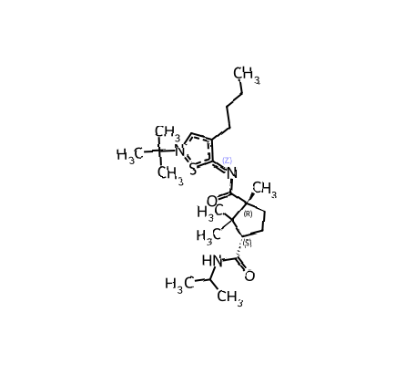 CCCCc1cn(C(C)(C)C)s/c1=N\C(=O)[C@]1(C)CC[C@H](C(=O)NC(C)C)C1(C)C